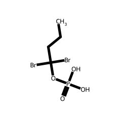 CCCC(Br)(Br)OP(=O)(O)O